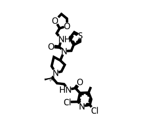 Cc1cc(Cl)nc(Cl)c1C(=O)NCC[C@@H](C)N1CCC(N(Cc2ccsc2)C(=O)NCC2OCCO2)CC1